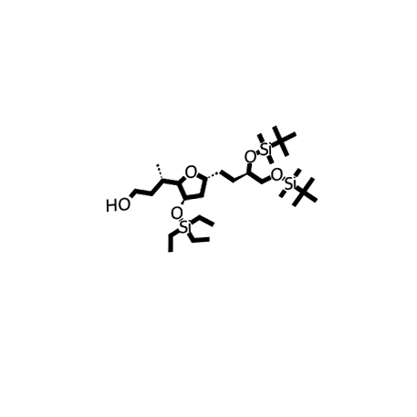 CC[Si](CC)(CC)O[C@H]1C[C@@H](CC[C@H](CO[Si](C)(C)C(C)(C)C)O[Si](C)(C)C(C)(C)C)OC1[C@@H](C)CCO